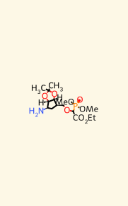 CCOC(=O)C(OC[C@H]1C[C@@H](N)[C@@H]2OC(C)(C)O[C@H]12)P(=O)(OC)OC